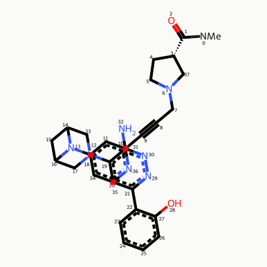 CNC(=O)[C@H]1CCN(CC#Cc2cc(N3C4CC3CN(c3cc(-c5ccccc5O)nnc3N)C4)ccn2)C1